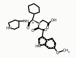 COc1ccc2c(C(=O)C(=O)N(CC(=O)O)[C@@H](C(=O)NC3CCNCC3)C3CCCCC3)c[nH]c2c1